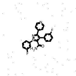 NC(=O)c1c(-c2cccc(F)c2)c(-c2ccncc2)nn1-c1cccc(F)c1